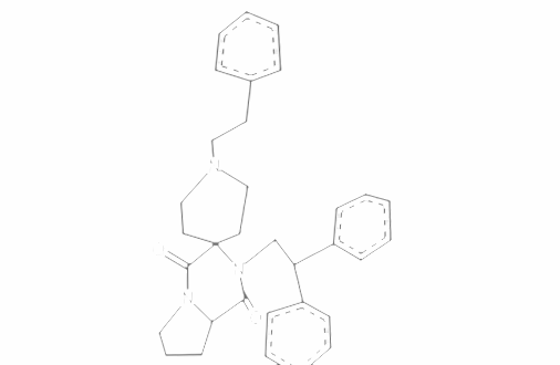 O=C1C2CCCN2C(=O)C2(CCN(CCc3ccccc3)CC2)N1CC(c1ccccc1)c1ccccc1